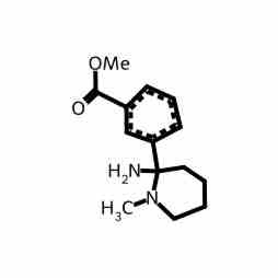 COC(=O)c1cccc(C2(N)CCCCN2C)c1